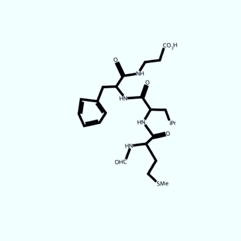 CSCCC(NC=O)C(=O)NC(CC(C)C)C(=O)NC(Cc1ccccc1)C(=O)NCCC(=O)O